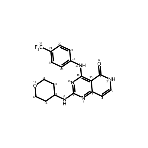 O=c1[nH]ccc2nc(NC3CCOCC3)nc(Nc3ccc(C(F)(F)F)cc3)c12